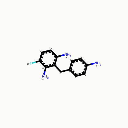 Nc1ccc(Cc2c(N)ccc(F)c2N)cc1